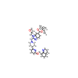 CC(C)(C)OC(=O)c1ccc2nc(CN3CCC(c4cccc(OCc5cccc6cccnc56)n4)CC3)n(C[C@@H]3CCO3)c2c1